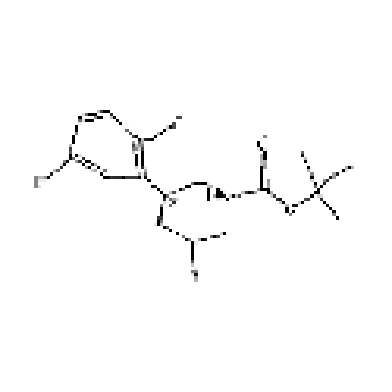 CC(C)C[C@H](CNC(=O)OC(C)(C)C)c1cc(F)ccc1F